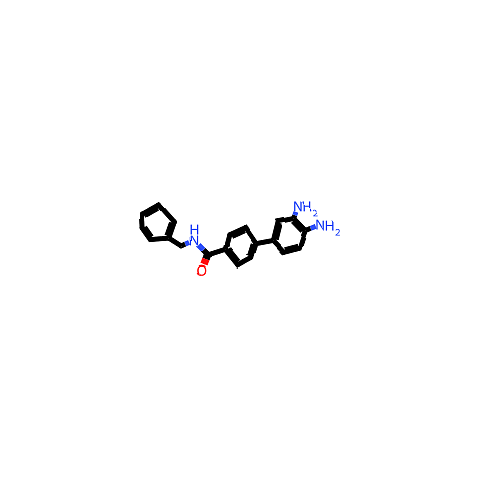 Nc1ccc(-c2ccc(C(=O)NCc3ccccc3)cc2)cc1N